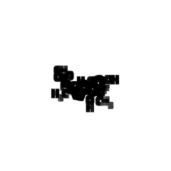 CC[C@@H]1[C@@H]2[C@@H](F)C(O)CC[C@]2(C)C2CC[C@@]3(C)C(CCC3[C@H](C)CCC(=O)OC)C2[C@@H]1O